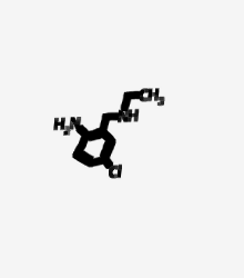 CCNCc1cc(Cl)ccc1N